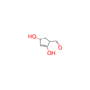 O=CC1CC(O)C=C1O